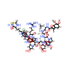 COc1ccc(C[C@H](NC(=O)[C@H](C)NC(=O)[C@H](CC(C)C)NC(=O)c2oc3c(OC)c(OC)ccc3c2C)C(=O)N2CCC[C@H]2C(=O)N[C@@H](CC(=O)O)C(=O)N[C@@H](C)C(=O)N[C@H](C(=O)N2C[C@H](O)C[C@H]2C(=O)N[C@@H](Cc2ccc(Cl)cc2)C(=O)N[C@@H](CCCNC(=N)N)C(=O)N2CCC[C@H]2C(=O)NCC(=O)NCCCCC(NC(C)S)C(N)=O)C(C)C)cc1